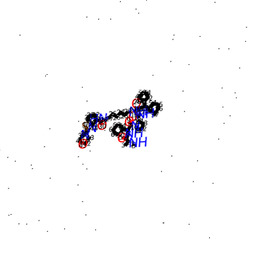 CNC(C)C(=O)NC(C(=O)N1CCC[C@H]1C(=O)NC(C(=O)NCCCCCCNC(=O)c1cccc2sc(N3CCOCC3)nc12)C(c1ccccc1)c1ccccc1)C1CCCCC1